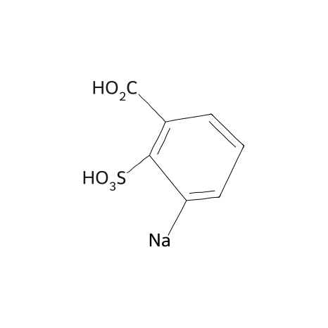 O=C(O)c1ccc[c]([Na])c1S(=O)(=O)O